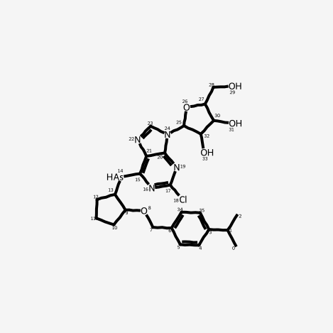 CC(C)c1ccc(COC2CCCC2[AsH]c2nc(Cl)nc3c2ncn3C2OC(CO)C(O)C2O)cc1